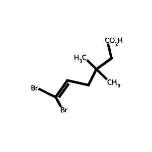 CC(C)(CC=C(Br)Br)CC(=O)O